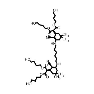 CC1(C)CC(NCCCCCCNC2=C(C#N)C(=C(C(=O)OCCCCO)C(=O)OCCCCO)CC(C)(C)C2)=C(C#N)C(=C(C(=O)OCCCCO)C(=O)OCCCCO)C1